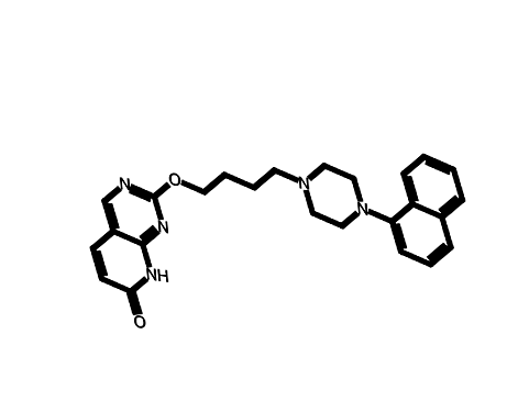 O=c1ccc2cnc(OCCCCN3CCN(c4cccc5ccccc45)CC3)nc2[nH]1